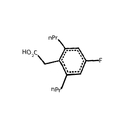 CCCc1cc(F)cc(CCC)c1CC(=O)O